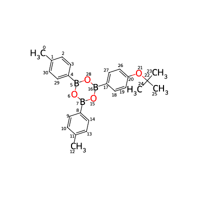 Cc1ccc(B2OB(c3ccc(C)cc3)OB(c3ccc(OC(C)(C)C)cc3)O2)cc1